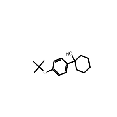 CC(C)(C)Oc1ccc(C2(O)CCCCC2)cc1